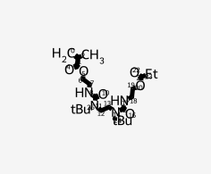 C=C(C)C(=O)OCCNC(=O)N(CCN(C(=O)NCCOC(=O)CC)C(C)(C)C)C(C)(C)C